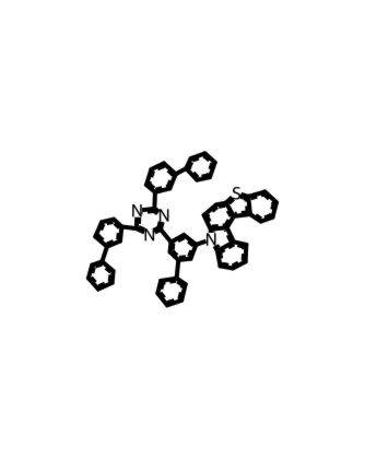 c1ccc(-c2cccc(-c3nc(-c4cccc(-c5ccccc5)c4)nc(-c4cc(-c5ccccc5)cc(-n5c6ccccc6c6c7c(ccc65)sc5ccccc57)c4)n3)c2)cc1